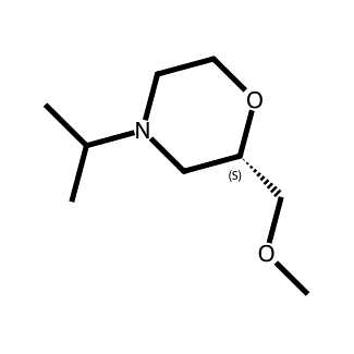 COC[C@@H]1CN(C(C)C)CCO1